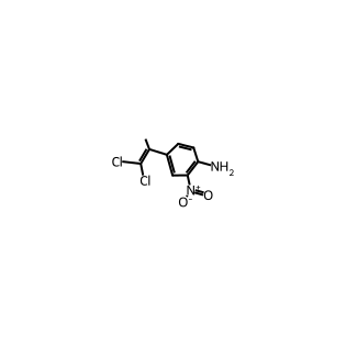 CC(=C(Cl)Cl)c1ccc(N)c([N+](=O)[O-])c1